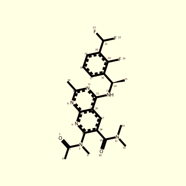 CC(=O)N(C)c1nc2nc(C)nc(N[C@H](C)c3cccc(C(F)F)c3F)c2cc1C(=O)N(C)C